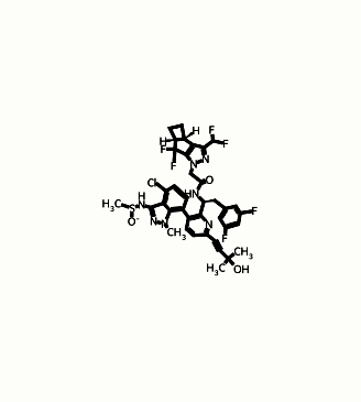 Cn1nc(N[S+](C)[O-])c2c(Cl)ccc(-c3ccc(C#CC(C)(C)O)nc3[C@H](Cc3cc(F)cc(F)c3)NC(=O)Cn3nc(C(F)F)c4c3C(F)(F)[C@@H]3CC[C@H]43)c21